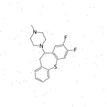 CN1CCN(C2Cc3ccccc3Sc3cc(F)c(F)cc32)CC1